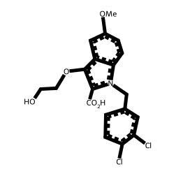 COc1ccc2c(c1)c(OCCO)c(C(=O)O)n2Cc1ccc(Cl)c(Cl)c1